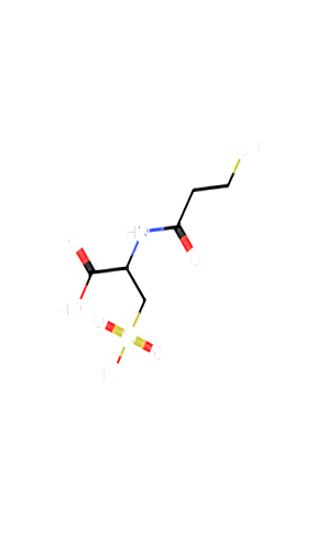 O=C(CCS)NC(CS(=O)(=O)O)C(=O)O